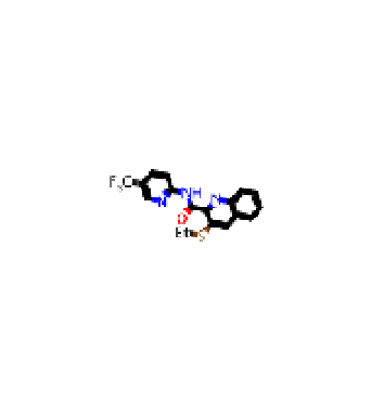 CCSc1cc2ccccc2nc1C(=O)Nc1ccc(C(F)(F)F)cn1